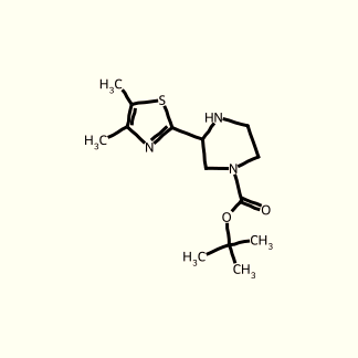 Cc1nc(C2CN(C(=O)OC(C)(C)C)CCN2)sc1C